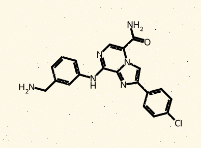 NCc1cccc(Nc2ncc(C(N)=O)n3cc(-c4ccc(Cl)cc4)nc23)c1